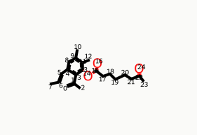 C=C(C)c1c(/C=C/C)cc(C)c(C)c1OC(=O)CCCCCC(C)=O